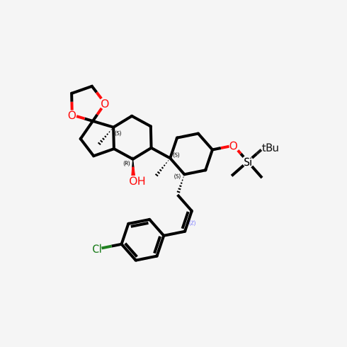 CC(C)(C)[Si](C)(C)OC1CC[C@](C)(C2CC[C@@]3(C)C(CCC34OCCO4)[C@@H]2O)[C@@H](C/C=C\c2ccc(Cl)cc2)C1